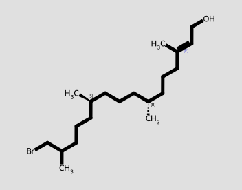 C/C(=C\CO)CCC[C@H](C)CCC[C@H](C)CCCC(C)CBr